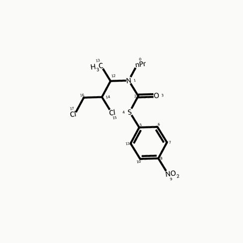 CCCN(C(=O)Sc1ccc([N+](=O)[O-])cc1)C(C)C(Cl)CCl